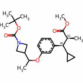 COC(=O)[C@@H](C)[C@H](c1cccc(OC(C)C2CN(C(=O)OC(C)(C)C)C2)c1)C1CC1